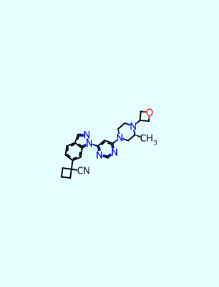 C[C@H]1CN(c2cc(-n3ncc4ccc(C5(C#N)CCC5)cc43)ncn2)CCN1C1COC1